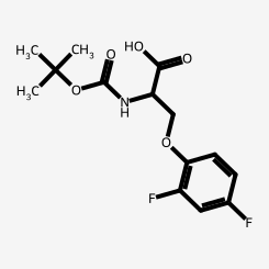 CC(C)(C)OC(=O)NC(COc1ccc(F)cc1F)C(=O)O